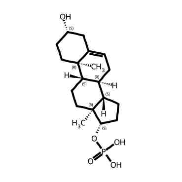 C[C@]12CC[C@H]3[C@@H](CC=C4C[C@@H](O)CC[C@@]43C)[C@@H]1CC[C@@H]2OP(=O)(O)O